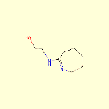 OCCNC1=NCCCCC1